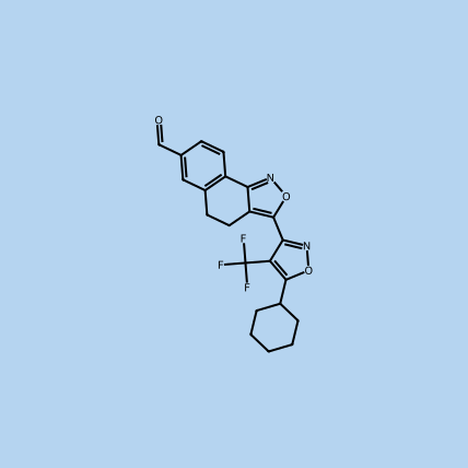 O=Cc1ccc2c(c1)CCc1c-2noc1-c1noc(C2CCCCC2)c1C(F)(F)F